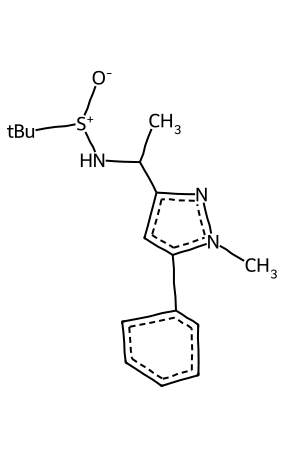 CC(N[S+]([O-])C(C)(C)C)c1cc(-c2ccccc2)n(C)n1